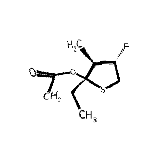 CC[C@]1(OC(C)=O)SC[C@@H](F)[C@@H]1C